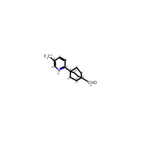 O=CC12CCC(c3ccc(C(F)(F)F)cn3)(CC1)CC2